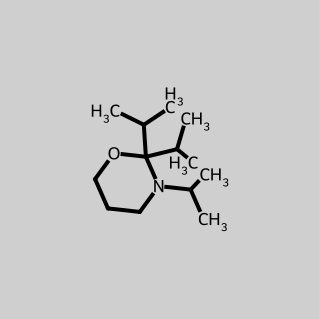 CC(C)N1CCCOC1(C(C)C)C(C)C